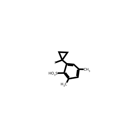 Cc1cc(C)c(S(=O)(=O)O)c(C2(I)CC2)c1